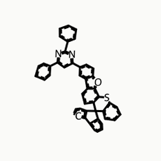 c1ccc(-c2cc(-c3ccc4oc5c6c(ccc5c4c3)C3(c4ccccc4S6)c4ccccc4-c4ccccc43)nc(-c3ccccc3)n2)cc1